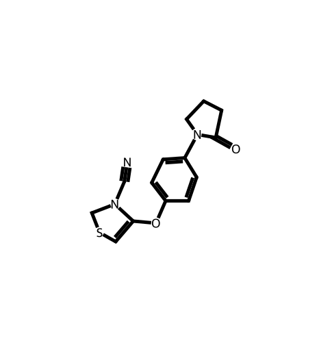 N#CN1CSC=C1Oc1ccc(N2CCCC2=O)cc1